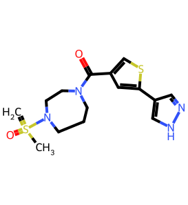 C=S(C)(=O)N1CCCN(C(=O)c2csc(-c3cn[nH]c3)c2)CC1